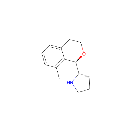 Cc1cccc2c1[C@H]([C@@H]1CCCN1)OCC2